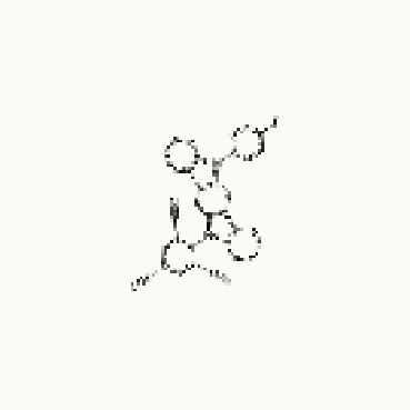 N#Cc1cc(C#N)c(-n2c3ccccc3c3cc4c(cc32)c2ccccc2n4-c2ccc(F)cc2)c(C#N)c1